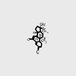 CC(=O)O[C@]1(C(C)=O)CC[C@H]2[C@@H]3C=C(Cl)C4=CC(=O)CC[C@]4(C)[C@@]3(Br)[C@@H](F)C[C@@]21C